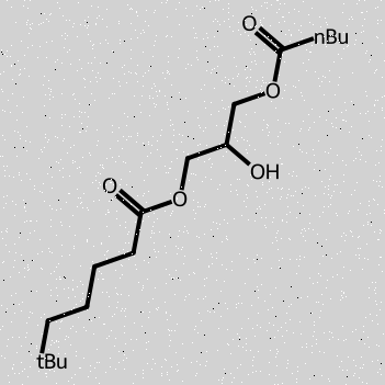 CCCCC(=O)OCC(O)COC(=O)CCCCC(C)(C)C